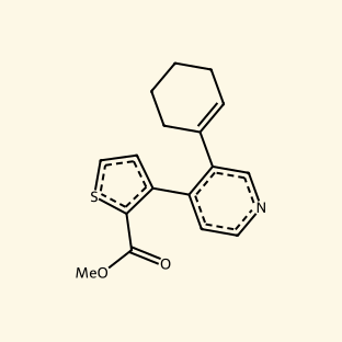 COC(=O)c1sccc1-c1ccncc1C1=CCCCC1